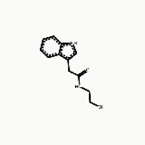 O=C(Cc1c[nH]c2ccccc12)NCCO